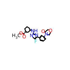 COC(=O)[C@H]1CCC[C@@H](Nc2ncc(F)c(-c3cccc(N4CCOCC4=O)c3)n2)C1